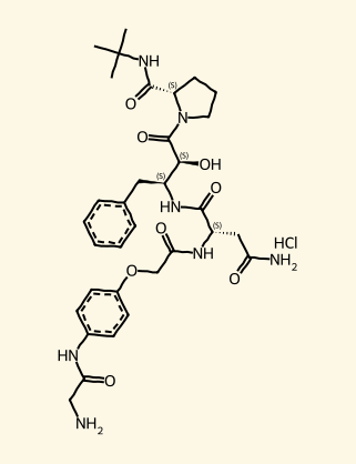 CC(C)(C)NC(=O)[C@@H]1CCCN1C(=O)[C@@H](O)[C@H](Cc1ccccc1)NC(=O)[C@H](CC(N)=O)NC(=O)COc1ccc(NC(=O)CN)cc1.Cl